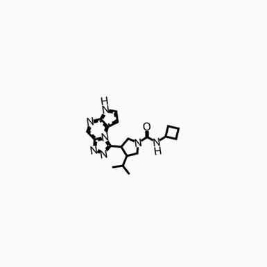 CC(C)C1CN(C(=O)NC2CCC2)CC1c1nnc2cnc3[nH]ccc3n12